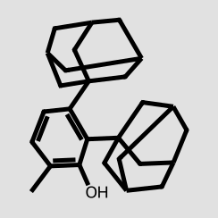 Cc1ccc(C23CC4CC(CC(C4)C2)C3)c(C23CC4CC(CC(C4)C2)C3)c1O